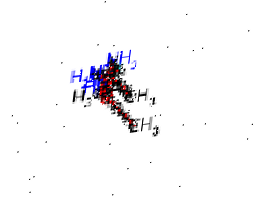 CCCCCCCCC=CCCCCCCCCOCC(C[N+](C)(C)CCNCC(CCC(NCCCN)OC(=O)C(F)(F)F)NCCCN)OCCCCCCCCC=CCCCCCCCC